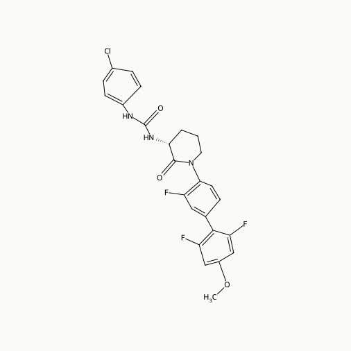 COc1cc(F)c(-c2ccc(N3CCC[C@@H](NC(=O)Nc4ccc(Cl)cc4)C3=O)c(F)c2)c(F)c1